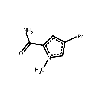 CC(C)c1cc(C(N)=O)n(C)c1